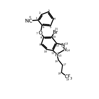 N#Cc1ccccc1Oc1ccc2c(nnn2CCCC(F)(F)F)c1Br